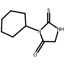 O=C1CNC(=S)N1C1CCCCC1